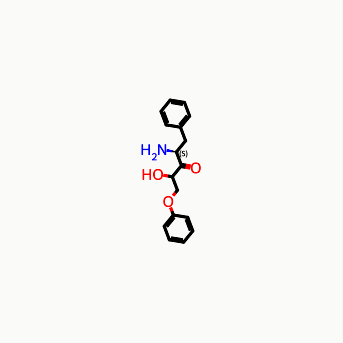 N[C@@H](Cc1ccccc1)C(=O)C(O)COc1ccccc1